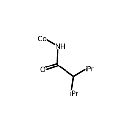 CC(C)C(C(=O)[NH][Co])C(C)C